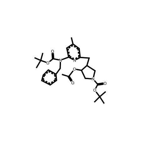 CC(=O)OC1CN(C(=O)OC(C)(C)C)CC1Cc1cc(C)cc(N(Cc2ccccc2)C(=O)OC(C)(C)C)n1